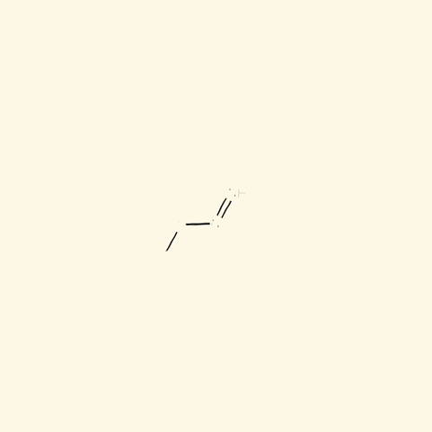 N=NSI